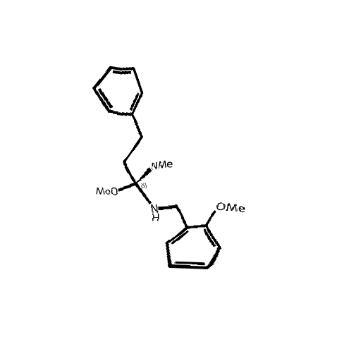 CN[C@@](CCc1ccccc1)(NCc1ccccc1OC)OC